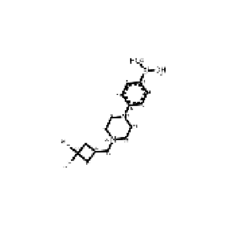 OB(O)c1ccc(N2CCN(CC3CC(F)(F)C3)CC2)cc1